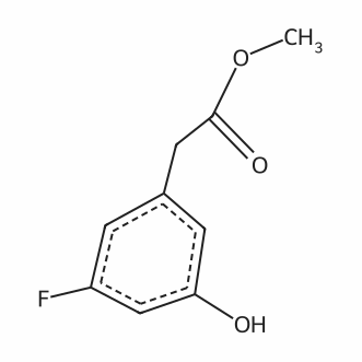 COC(=O)Cc1cc(O)cc(F)c1